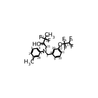 Cc1cccc(N(Cc2cccc(OC(F)(F)C(F)F)c2)C[C@@H](O)C(C)(F)F)c1